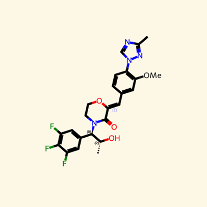 COc1cc(/C=C2\OCCN([C@H](c3cc(F)c(F)c(F)c3)[C@@H](C)O)C2=O)ccc1-n1cnc(C)n1